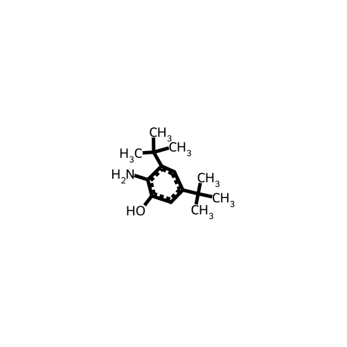 CC(C)(C)c1cc(O)c(N)c(C(C)(C)C)c1